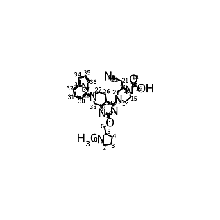 CN1CCCC1COc1nc2c(c(N3CCN(C(=O)O)C(CC#N)C3)n1)CCN(c1cccc3cccn13)C2